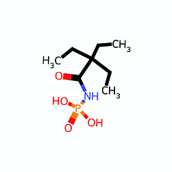 CCC(CC)(CC)C(=O)NP(=O)(O)O